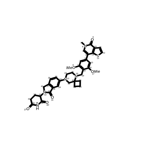 COc1cc(-c2cn(C)c(=O)c3ccsc23)cc(OC)c1CN1CCN(c2ccc3c(c2)C(=O)N(C2CCC(=O)NC2=O)C3)CC12CCC2